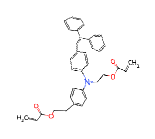 C=CC(=O)OCCc1ccc(N(CCOC(=O)C=C)c2ccc(C=C(c3ccccc3)c3ccccc3)cc2)cc1